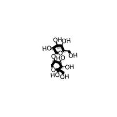 OC[C@H]1O[C@H](O[C@@H]2COC(O)(CO)[C@@H](O)[C@@H]2O)[C@H](O)[C@@H](O)[C@@H]1O